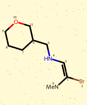 CN/C(Br)=C\NCC1CCCOC1